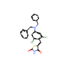 O=C1NC(=O)C(=Cc2c(Cl)cc(N(Cc3ccccc3)Cc3ccccc3)cc2Cl)S1